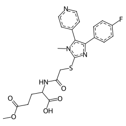 COC(=O)CCC(NC(=O)CSc1nc(-c2ccc(F)cc2)c(-c2ccncc2)n1C)C(=O)O